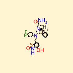 CC(C)(Cc1ccccc1)N(CCC(N)=O)CCN(CCc1ccc(O)c2[nH]c(=O)sc12)C1CCC(F)(F)CC1